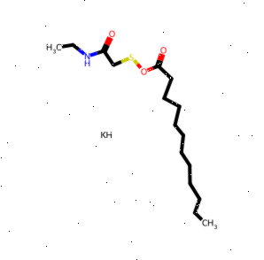 CCCCCCCCCCCC(=O)OSCC(=O)NCC.[KH]